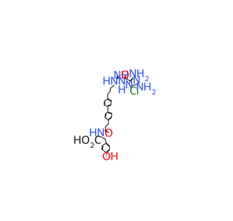 N=C(NCCCCc1ccc(-c2ccc(CCC(=O)NC(Cc3ccc(O)cc3)C(=O)O)cc2)cc1)NC(=O)c1nc(Cl)c(N)nc1N